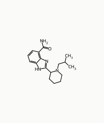 CC(C)CN1CCCCC1c1nc2c(C(N)=O)cccc2[nH]1